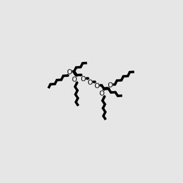 CCCCCCCOC(CCCC)=C(COCOCOCC(OCCCCCCC)=C(CCCC)OCCCCCCC)OCCCCCCC